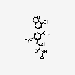 Cc1cc(-c2cc(O)c3c(c2)CCN3)c(C)cc1/C=C(\Cl)C(=O)NC1CC1